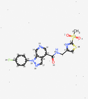 CS(=O)(=O)c1nc(CNC(=O)c2cncc3c2cnn3-c2ccc(F)cc2)cs1